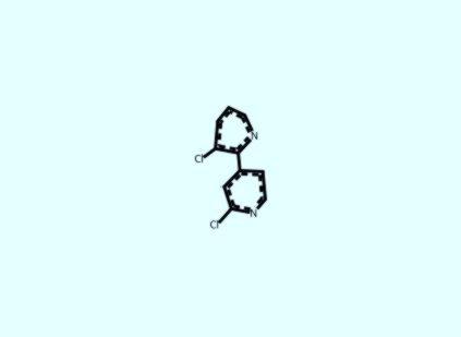 Clc1[c]c(-c2ncccc2Cl)ccn1